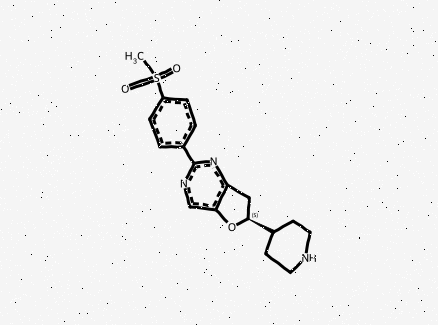 CS(=O)(=O)c1ccc(-c2ncc3c(n2)C[C@@H](C2CCNCC2)O3)cc1